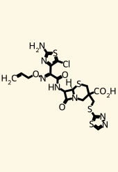 C=CCON=C(C(=O)NC1C(=O)N2CC(CSc3nncs3)(C(=O)O)CS[C@H]12)c1nc(N)sc1Cl